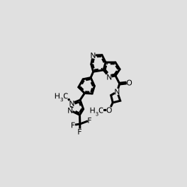 COC1CN(C(=O)c2ccc3cncc(-c4ccc(-c5cc(C(F)(F)F)nn5C)cc4)c3n2)C1